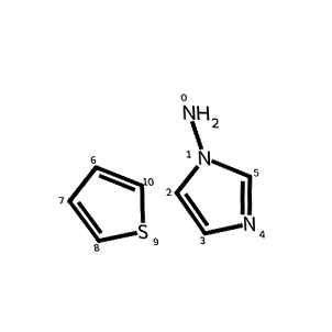 Nn1ccnc1.c1ccsc1